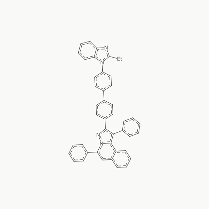 CCc1nc2ccccc2n1-c1ccc(-c2ccc(-c3nn4c(-c5ccccc5)cc5ccccc5c4c3-c3ccccc3)cc2)cc1